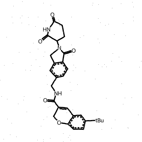 CC(C)(C)c1ccc2c(c1)C=C(C(=O)NCc1ccc3c(c1)CN(C1CCC(=O)NC1=O)C3=O)CO2